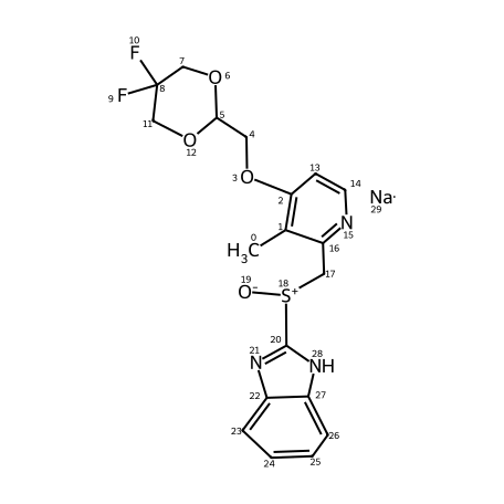 Cc1c(OCC2OCC(F)(F)CO2)ccnc1C[S+]([O-])c1nc2ccccc2[nH]1.[Na]